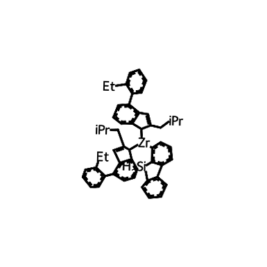 CCc1ccccc1-c1cccc2c1C=C(CC(C)C)[CH]2[Zr]([c]1cccc2c1[SiH2]c1ccccc1-2)[CH]1C(CC(C)C)=Cc2c(-c3ccccc3CC)cccc21